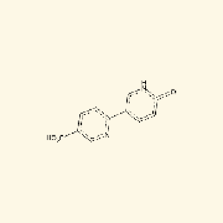 O=C(O)c1ccc(-c2ccc(=O)[nH]c2)nc1